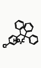 O=C(O)C(c1ccccc1)(c1ccccc1)C(c1ccccc1)c1ccc(Cl)cc1